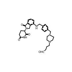 O=CCCCN1CCN(Cc2ccc(CNc3cccc4c3CN(C3CCC(=O)NC3=O)C4=O)cc2)CC1